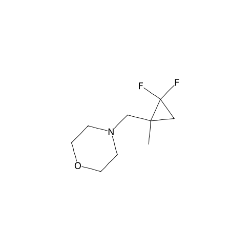 CC1(CN2CCOCC2)CC1(F)F